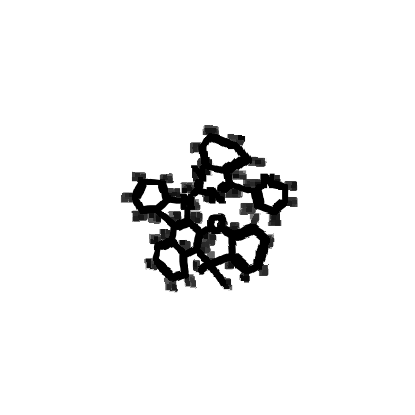 CC1(C)c2ccccc2Oc2c1c1ccccc1c1c3ccccc3n(-c3nc(-c4ccccn4)c4ccccc4n3)c21